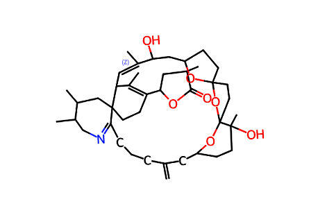 C=C1CCCC2=NCC(C)C(C)CC23CCC(C2CC(C)C(=O)O2)=C(C)C3/C=C(/C)C(O)CC2CCC3(CCC4(OC(CCC4(C)O)C1)O3)O2